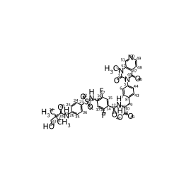 Cn1c(=O)n(-c2ccc(C[C@H](NC(=O)c3cc(F)c(NS(=O)(=O)c4ccc(NC(=O)C(C)(C)CO)cc4)cc3F)C(=O)O)cc2)c(=O)c2ccncc21